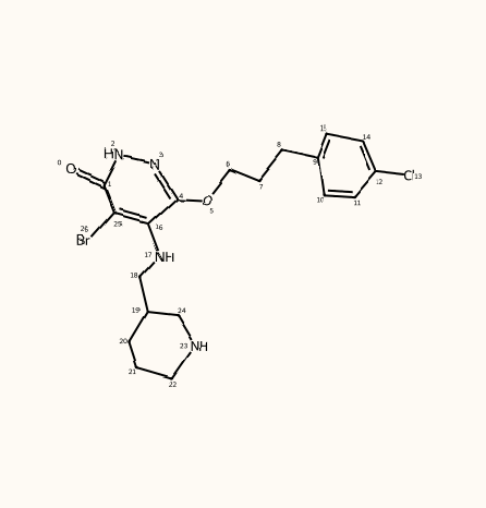 O=c1[nH]nc(OCCCc2ccc(Cl)cc2)c(NCC2CCCNC2)c1Br